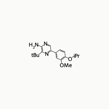 COc1cc(-c2cnc(N)c(C(C)(C)C)n2)ccc1OC(C)C